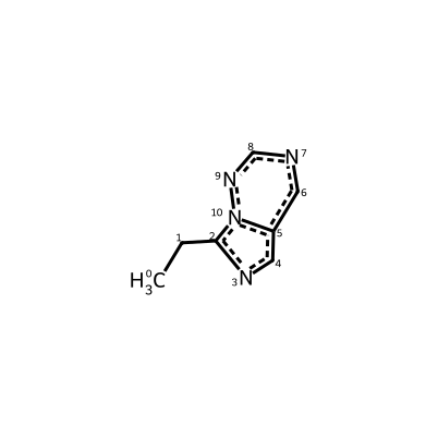 CCc1ncc2cncnn12